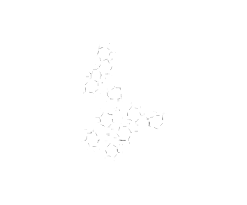 c1ccc(-c2ccc(N(c3cccc(-c4cccc5oc6c7ccccc7ccc6c45)c3)c3ccc4c(c3)C(c3ccccc3)(c3ccccc3)c3ccccc3-4)cc2)cc1